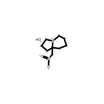 Cl.O=[N+]([O-])CC12CCCCN1CCC2